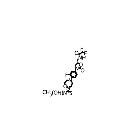 CN(O)C(=S)N1CCN(c2ccc(N3C[C@H](CNC(=O)C(F)F)OC3=O)cc2F)CCO1